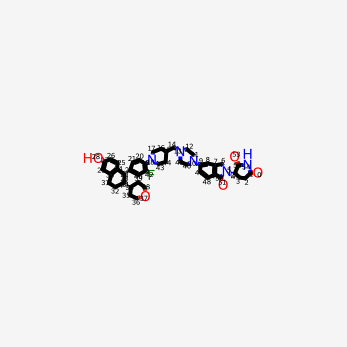 O=C1CC[C@H](N2Cc3cc(N4CCN(CC5CCN(c6ccc([C@H]7c8ccc(O)cc8CC[C@H]7C7CCOCC7)cc6F)CC5)CC4)ccc3C2=O)C(=O)N1